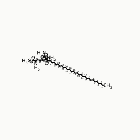 CCCCCCCCCCCCCCCCCCCCCCCCCCCCCC(=O)[C@](N)(CSSC[C@H](N)C(=O)OC)C(=O)OC